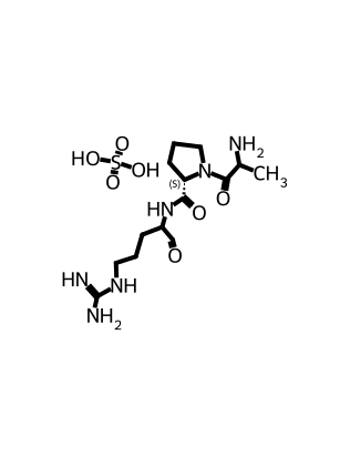 CC(N)C(=O)N1CCC[C@H]1C(=O)NC(C=O)CCCNC(=N)N.O=S(=O)(O)O